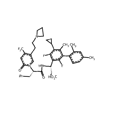 Cc1ccc(-c2c(C)c(C3CC3)c(F)c([C@H](CC(=O)O)NC(=O)[C@H](CC(C)C)n3cc(CCN4CCC4)c(C(F)(F)F)cc3=O)c2F)c(C)c1